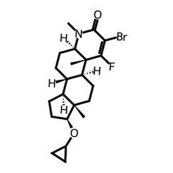 CN1C(=O)C(Br)=C(F)[C@]2(C)[C@H]3CC[C@]4(C)[C@@H](OC5CC5)CC[C@H]4[C@@H]3CC[C@@H]12